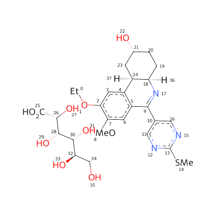 CCOc1cc2c(cc1OC)C(c1cnc(SC)nc1)=N[C@@H]1CC[C@@H](O)C[C@H]21.O=C(O)[C@H](O)[C@@H](O)[C@H](O)[C@H](O)CO